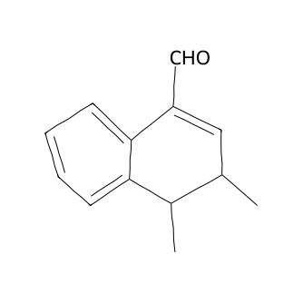 CC1C=C(C=O)c2ccccc2C1C